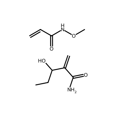 C=C(C(N)=O)C(O)CC.C=CC(=O)NOC